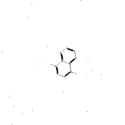 CCCc1ccc(O)c2ccccc12